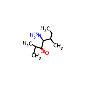 CCC(C)C([15NH2])C(=[18O])C(C)C